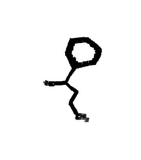 [CH]=C(CCC)c1ccccc1